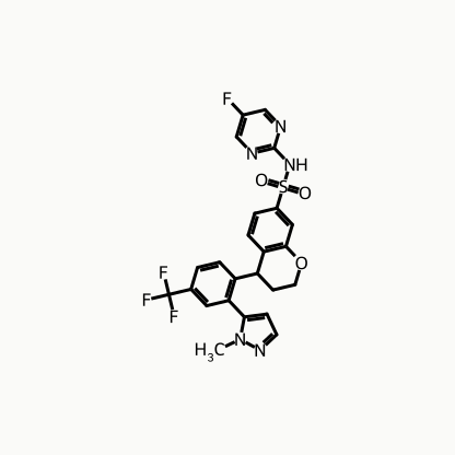 Cn1nccc1-c1cc(C(F)(F)F)ccc1C1CCOc2cc(S(=O)(=O)Nc3ncc(F)cn3)ccc21